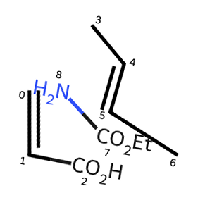 C=CC(=O)O.CC=CC.CCOC(N)=O